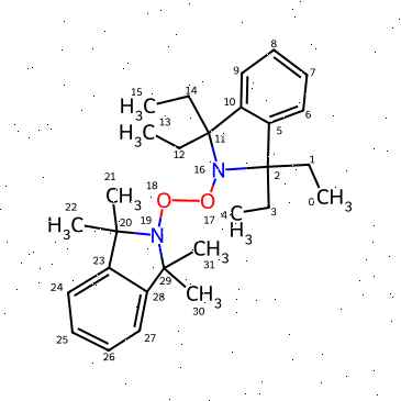 CCC1(CC)c2ccccc2C(CC)(CC)N1OON1C(C)(C)c2ccccc2C1(C)C